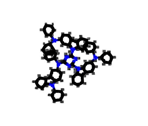 c1ccc(N(c2ccccc2)c2ccc3c4ccccc4n(-c4nc(N(c5ccccc5)c5ccc6c(c5)c5ccccc5n6-c5ccccc5)nc(-n5c6ccccc6c6ccc(N(c7ccccc7)c7ccccc7)cc65)n4)c3c2)cc1